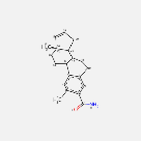 Cc1cc2c(cc1C(N)=O)CCC1C2CC[C@]2(C)C=CCC12